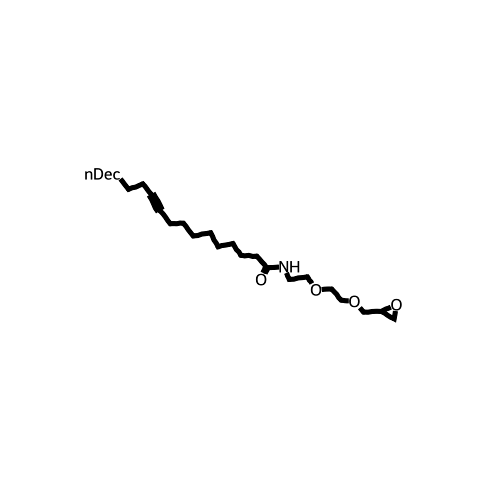 CCCCCCCCCCCCC#CCCCCCCCCC(=O)NCCOCCOCC1CO1